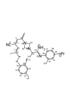 C=C(/C=C(C#N)\C=C(/C)CCc1ccc(C)cc1F)N1CN(C(C)/C(N)=N/c2ccc(CCC)cc2C)C1